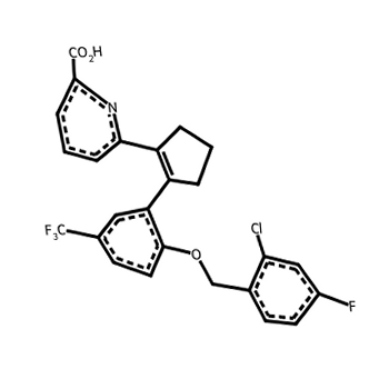 O=C(O)c1cccc(C2=C(c3cc(C(F)(F)F)ccc3OCc3ccc(F)cc3Cl)CCC2)n1